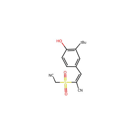 CC(C)(C)c1cc(/C=C(/C#N)S(=O)(=O)CC#N)ccc1O